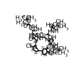 CN1C(=O)[C@H](C[C@@H](O)CNC(=O)OC(C)(C)C)NC(=O)[C@@H](NC(=O)OC(C)(C)C)Cc2cc(ccc2O)-c2ccc(Cl)c(c2)C[C@H]1C(=O)NCC(O)CNC(=O)OC(C)(C)C